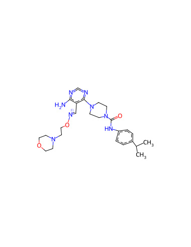 CC(C)c1ccc(NC(=O)N2CCN(c3ncnc(N)c3/C=N/OCCN3CCOCC3)CC2)cc1